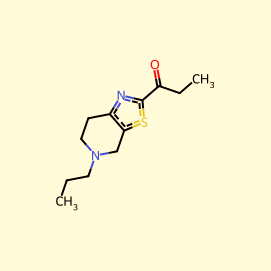 CCCN1CCc2nc(C(=O)CC)sc2C1